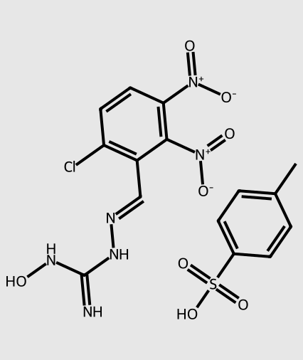 Cc1ccc(S(=O)(=O)O)cc1.N=C(NO)N/N=C/c1c(Cl)ccc([N+](=O)[O-])c1[N+](=O)[O-]